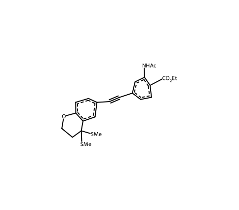 CCOC(=O)c1ccc(C#Cc2ccc3c(c2)C(SC)(SC)CCO3)cc1NC(C)=O